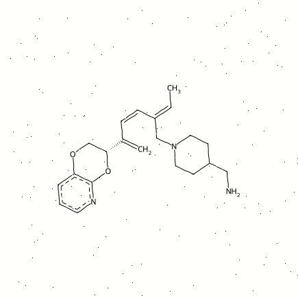 C=C(/C=C\C(=C/C)CN1CCC(CN)CC1)[C@H]1COc2cccnc2O1